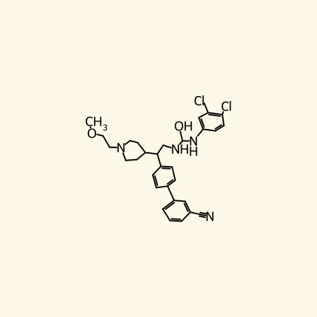 COCCN1CCC(C(CNC(O)Nc2ccc(Cl)c(Cl)c2)c2ccc(-c3cccc(C#N)c3)cc2)CC1